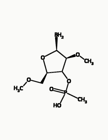 B[C@@H]1O[C@H](COC)C(OP(C)(=O)O)[C@@H]1OC